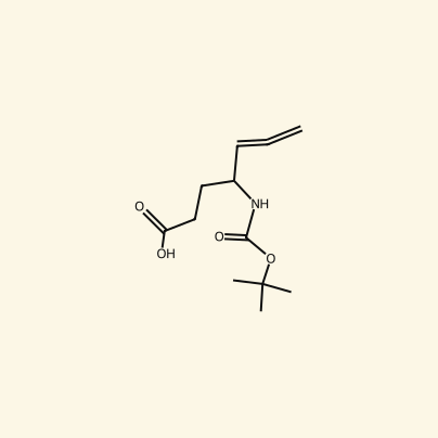 C=C=CC(CCC(=O)O)NC(=O)OC(C)(C)C